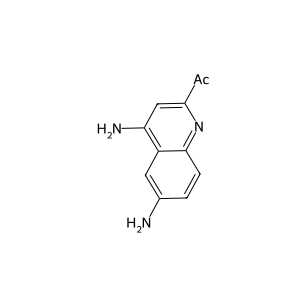 CC(=O)c1cc(N)c2cc(N)ccc2n1